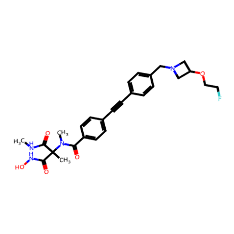 CNC(=O)C(C)(C(=O)NO)N(C)C(=O)c1ccc(C#Cc2ccc(CN3CC(OCCF)C3)cc2)cc1